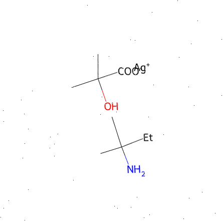 CC(C)(O)C(=O)[O-].CCC(C)(C)N.[Ag+]